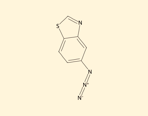 [N-]=[N+]=Nc1ccc2scnc2c1